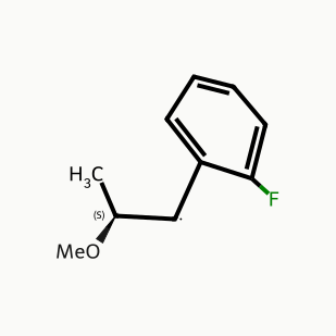 CO[C@@H](C)[CH]c1ccccc1F